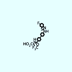 O=C(NC(CC(F)(F)F)C(=O)O)c1ccc(-c2ccc(Nc3nc4ccc(F)cc4s3)cc2)cc1